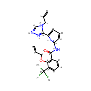 C=CCOc1c(C(=O)Nc2cccc(-c3nncn3CC=C)n2)cccc1C(F)(F)F